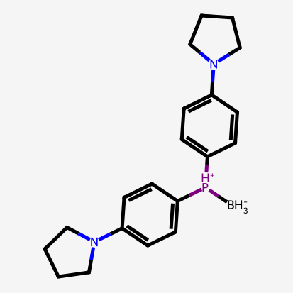 [BH3-][PH+](c1ccc(N2CCCC2)cc1)c1ccc(N2CCCC2)cc1